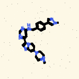 CN1CCN(c2ccn3c(-c4cc(NCc5ccc(-c6cnn(C)c6)cc5)ncn4)cnc3c2)CC1